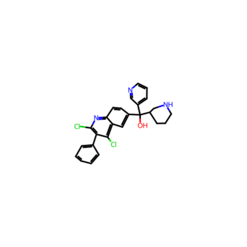 OC(c1cccnc1)(c1ccc2nc(Cl)c(-c3ccccc3)c(Cl)c2c1)C1CCCNC1